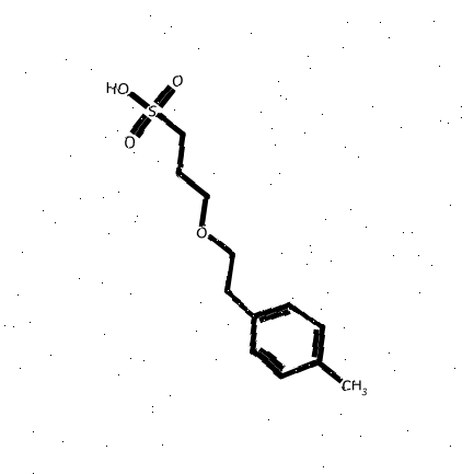 Cc1ccc(CCOCCCS(=O)(=O)O)cc1